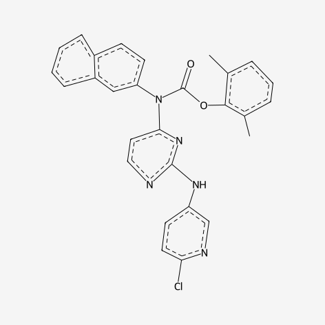 Cc1cccc(C)c1OC(=O)N(c1ccc2ccccc2c1)c1ccnc(Nc2ccc(Cl)nc2)n1